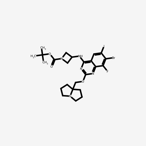 CC(C)(C)OC(=O)N1CC(Nc2nc(OCC34CCCN3CCC4)nc3c(F)c(Br)c(I)cc23)C1